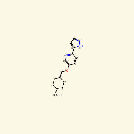 O=C(O)[C@H]1CC[C@@H](COc2ccc(-c3ccn[nH]3)nc2)CC1